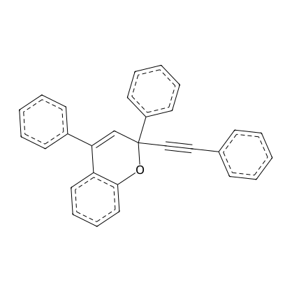 C(#CC1(c2ccccc2)C=C(c2ccccc2)c2ccccc2O1)c1ccccc1